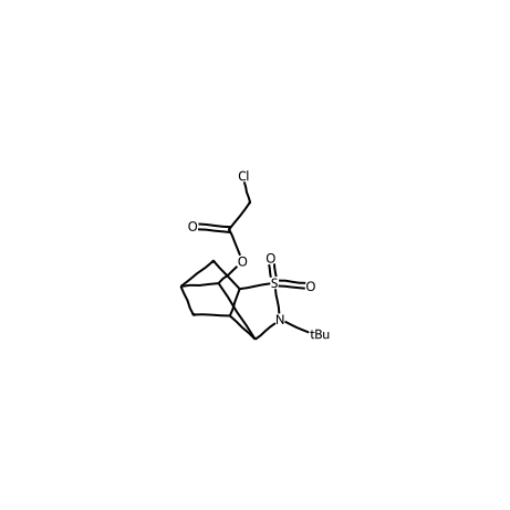 CC(C)(C)N1C2C3CC(CC3S1(=O)=O)C2OC(=O)CCl